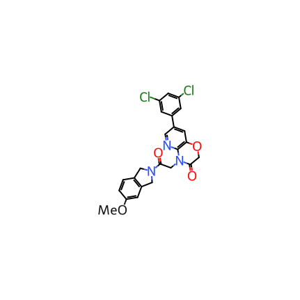 COc1ccc2c(c1)CN(C(=O)CN1C(=O)COc3cc(-c4cc(Cl)cc(Cl)c4)cnc31)C2